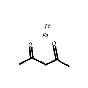 CC(=O)CC(C)=O.[Fe].[Fe]